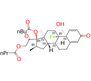 CCCCC(=O)O[C@]1(C(=O)COC(=O)CCC)[C@H](C)C[C@H]2[C@@H]3CCC4=CC(=O)C=C[C@]4(C)[C@@]3(F)[C@@H](O)C[C@@]21C